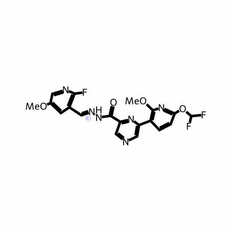 COc1cnc(F)c(/C=N/NC(=O)c2cncc(-c3ccc(OC(F)F)nc3OC)n2)c1